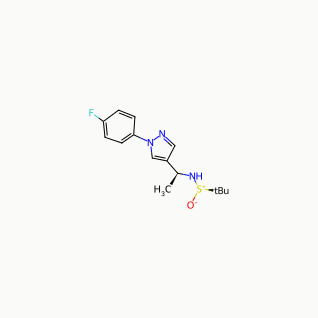 C[C@H](N[S@+]([O-])C(C)(C)C)c1cnn(-c2ccc(F)cc2)c1